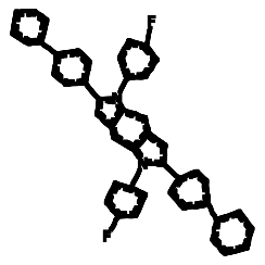 Fc1ccc(-n2c(-c3ccc(-c4ccccc4)cc3)cc3cc4c(cc(-c5ccc(-c6ccccc6)cc5)n4-c4ccc(F)cc4)cc32)cc1